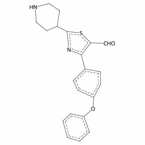 O=Cc1sc(C2CCNCC2)nc1-c1ccc(Oc2ccccc2)cc1